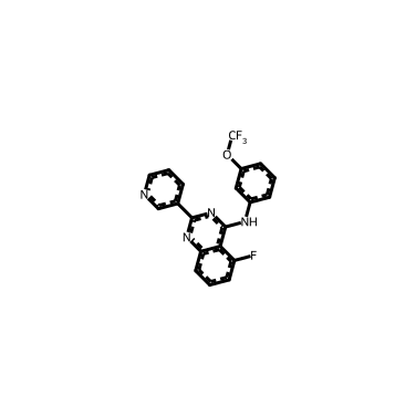 Fc1cccc2nc(-c3cccnc3)nc(Nc3cccc(OC(F)(F)F)c3)c12